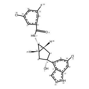 O=C(N[C@@H]1[C@@H]2C[C@@](O)(c3cc(Cl)cc4[nH]ncc34)C[C@@H]21)c1cc(F)cc(Cl)c1